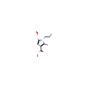 CCCn1c(OC=O)cc(C(=O)OC)c1C